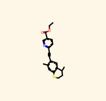 CCOC(=O)c1ccc(C#Cc2cc3c(cc2C)SCCC3C)nc1